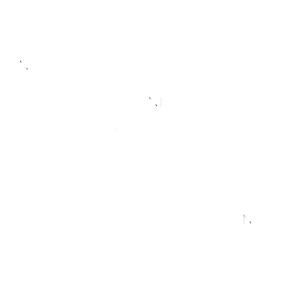 N#Cc1cccc(NC(=O)c2ccc(-c3ccccn3)cc2)c1